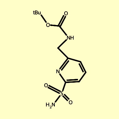 CC(C)(C)OC(=O)NCc1cccc(S(N)(=O)=O)n1